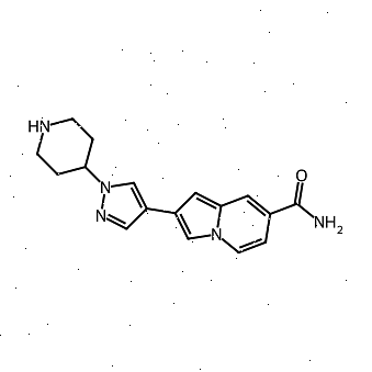 NC(=O)c1ccn2cc(-c3cnn(C4CCNCC4)c3)cc2c1